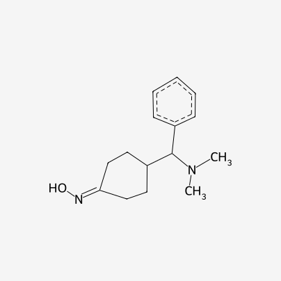 CN(C)C(c1ccccc1)C1CCC(=NO)CC1